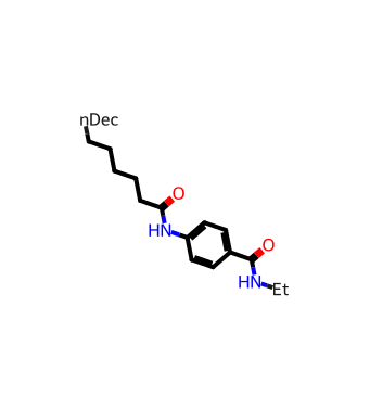 [CH2]CNC(=O)c1ccc(NC(=O)CCCCCCCCCCCCCCC)cc1